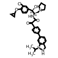 CC(C)N1NCc2ccc(-c3ccc(C(=O)C(=O)N[C@H](CN4CCCC4)[C@H](O)c4ccc(OC5CC5)c(Cl)c4)cc3)cc21